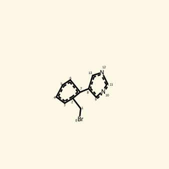 BrCc1ccccc1-c1cncnc1